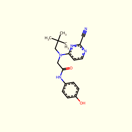 CC(C)(C)CN(CC(=O)Nc1ccc(O)cc1)c1ccnc(C#N)n1